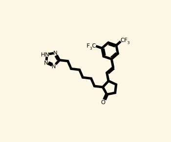 O=C1CCC(C=Cc2cc(C(F)(F)F)cc(C(F)(F)F)c2)C1CCCCCCc1nn[nH]n1